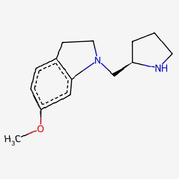 COc1ccc2c(c1)N(C[C@H]1CCCN1)CC2